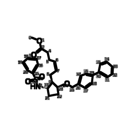 COC(=O)CC/C=C\C[C@@H]1[C@@H](NS(=O)(=O)c2ccccc2)CC[C@@H]1OCc1ccc(-c2ccccc2)cc1